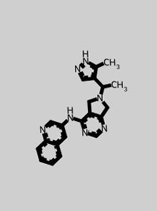 Cc1[nH]ncc1C(C)N1Cc2ncnc(Nc3cnc4ccccc4c3)c2C1